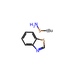 CC(C)(C)SN.c1ccc2scnc2c1